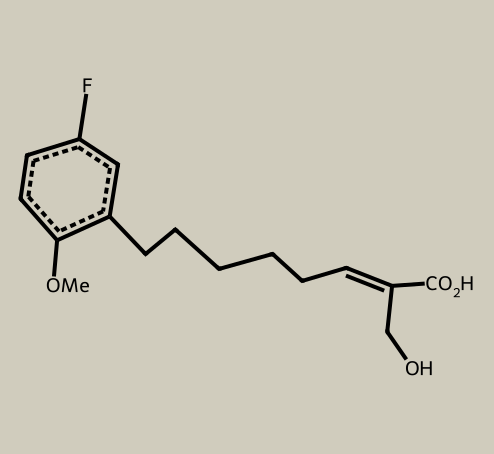 COc1ccc(F)cc1CCCCC/C=C(\CO)C(=O)O